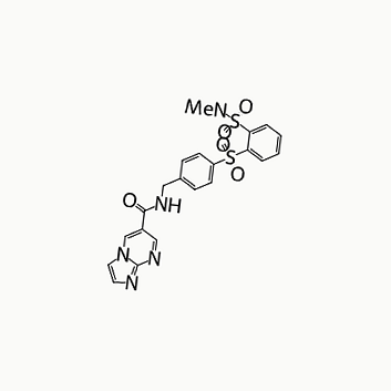 CNS(=O)(=O)c1ccccc1S(=O)(=O)c1ccc(CNC(=O)c2cnc3nccn3c2)cc1